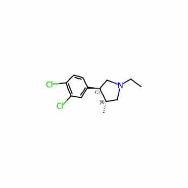 CCN1C[C@H](c2ccc(Cl)c(Cl)c2)[C@@H](C)C1